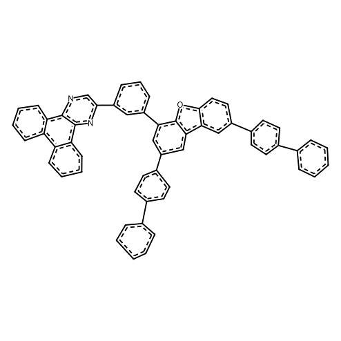 c1ccc(-c2ccc(-c3ccc4oc5c(-c6cccc(-c7cnc8c9ccccc9c9ccccc9c8n7)c6)cc(-c6ccc(-c7ccccc7)cc6)cc5c4c3)cc2)cc1